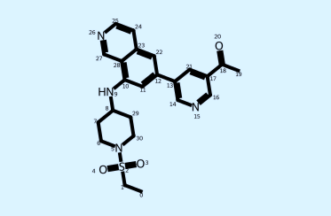 CCS(=O)(=O)N1CCC(Nc2cc(-c3cncc(C(C)=O)c3)cc3ccncc23)CC1